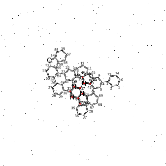 c1ccc(-c2ccc3c(c2)c2ccccc2n3-c2c(-c3cccc(-c4c(-c5cccc(-c6nc(-c7ccccc7)nc(-c7ccccc7)n6)c5)ccc5oc6ccccc6c45)c3)ccc3oc4ccccc4c23)cc1